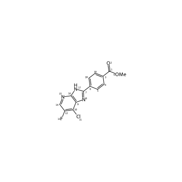 COC(=O)c1ccc(-c2nc3c(Cl)c(F)cnc3[nH]2)cc1